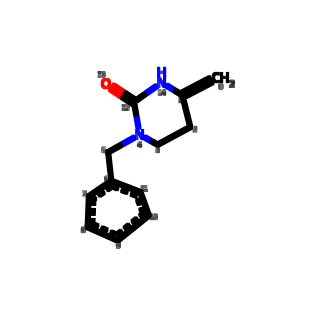 C=C1CCN(Cc2ccccc2)C(=O)N1